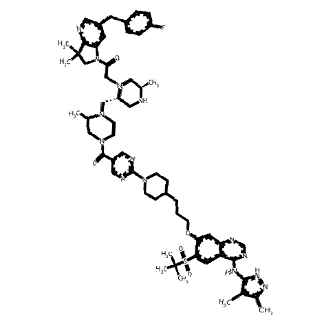 Cc1n[nH]c(Nc2ncnc3cc(OCCCC4CCN(c5ncc(C(=O)N6CCN(C[C@H]7CN[C@H](C)CN7CC(=O)N7CC(C)(C)c8ncc(Cc9ccc(F)cc9)cc87)C(C)C6)cn5)CC4)c(S(=O)(=O)C(C)(C)C)cc23)c1C